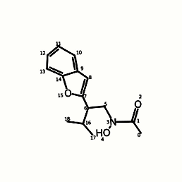 CC(=O)N(O)CC(c1cc2ccccc2o1)C(C)C